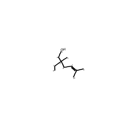 CCC(C)(CO)CC=C(C)C